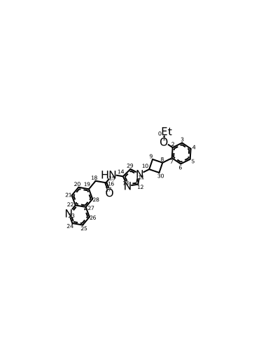 CCOc1ccccc1C1CC(n2cnc(NC(=O)Cc3ccc4ncccc4c3)c2)C1